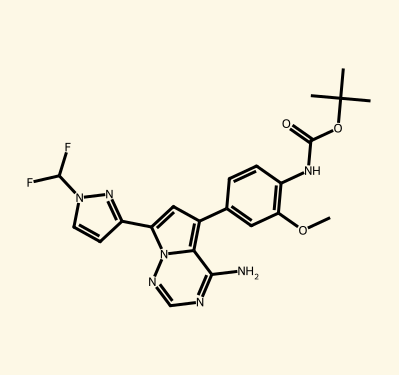 COc1cc(-c2cc(-c3ccn(C(F)F)n3)n3ncnc(N)c23)ccc1NC(=O)OC(C)(C)C